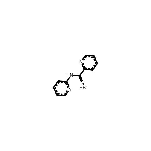 Br.S=C(Nc1ccccn1)c1ccccn1